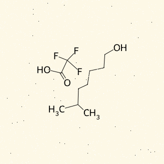 CC(C)CCCCCO.O=C(O)C(F)(F)F